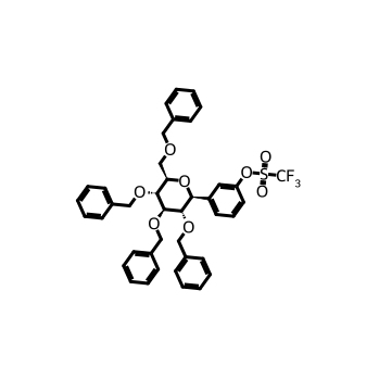 O=S(=O)(Oc1cccc([C@@H]2O[C@H](COCc3ccccc3)[C@@H](OCc3ccccc3)[C@H](OCc3ccccc3)[C@H]2OCc2ccccc2)c1)C(F)(F)F